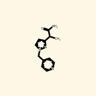 CC(C(N)=O)c1ccn(Cc2ccncc2)n1